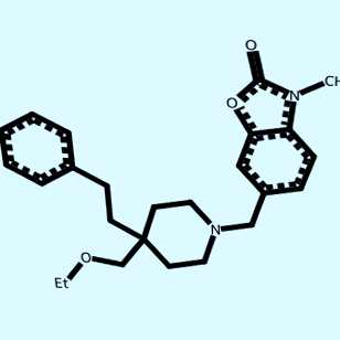 CCOCC1(CCc2ccccc2)CCN(Cc2ccc3c(c2)oc(=O)n3C)CC1